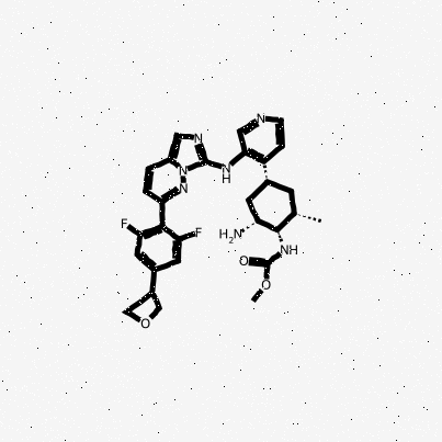 COC(=O)N[C@@H]1[C@H](N)C[C@H](c2ccncc2Nc2ncc3ccc(-c4c(F)cc(C5COC5)cc4F)nn23)C[C@@H]1C